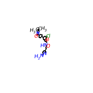 CC1(C)CN(C(=O)c2ccc(-c3cc(Cl)c4oc(CNC(=O)/C=C/c5ccc(N)nc5)cc4c3)cc2)C1